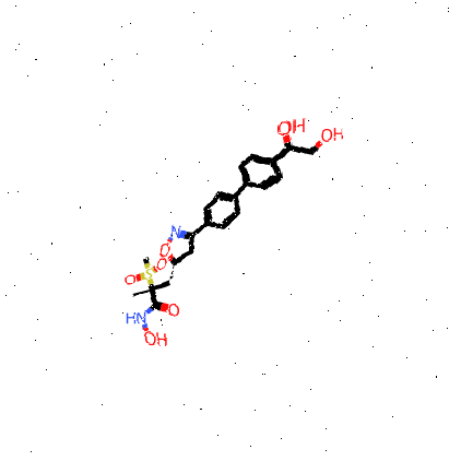 C[C@@](C[C@H]1CC(c2ccc(-c3ccc(C(O)CO)cc3)cc2)=NO1)(C(=O)NO)S(C)(=O)=O